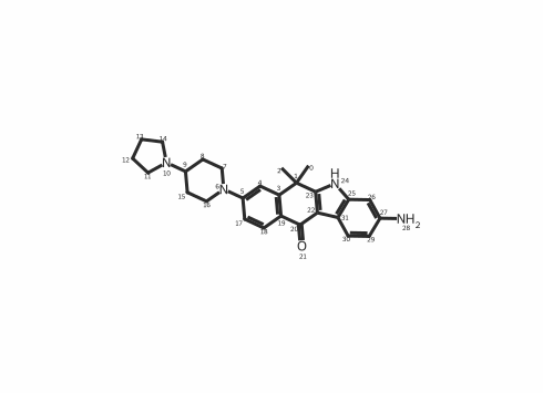 CC1(C)c2cc(N3CCC(N4CCCC4)CC3)ccc2C(=O)c2c1[nH]c1cc(N)ccc21